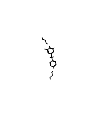 CC(C)(c1ccc(OCCCCl)cc1)c1cc(Cl)c(OCCCO)c(Cl)c1